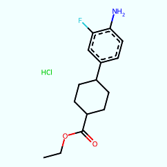 CCOC(=O)C1CCC(c2ccc(N)c(F)c2)CC1.Cl